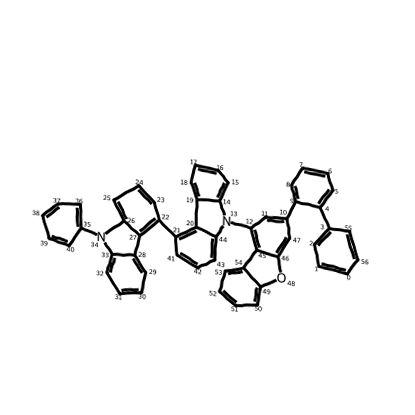 c1ccc(-c2ccccc2-c2cc(-n3c4ccccc4c4c(-c5cccc6c5c5ccccc5n6-c5ccccc5)cccc43)c3c(c2)oc2ccccc23)cc1